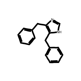 [c]1nc(Cc2ccccc2)c(Cc2ccccc2)[nH]1